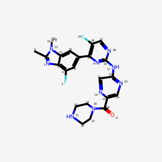 Cc1nc2c(F)cc(-c3nc(Nc4cnc(C(=O)N5CCNCC5)cn4)ncc3F)cc2n1C(C)C